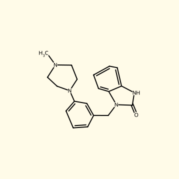 CN1CCN(c2cccc(Cn3c(=O)[nH]c4ccccc43)c2)CC1